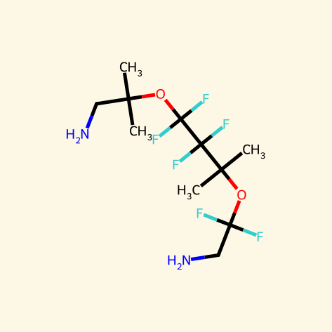 CC(C)(CN)OC(F)(F)C(F)(F)C(C)(C)OC(F)(F)CN